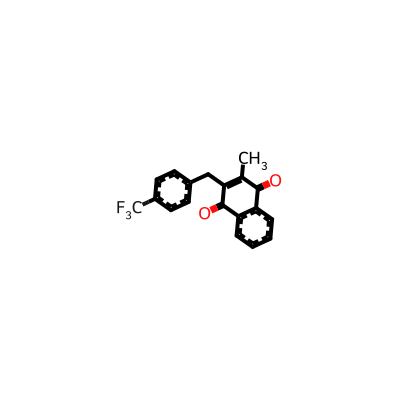 CC1=C(Cc2ccc(C(F)(F)F)cc2)C(=O)c2ccccc2C1=O